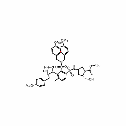 COc1ccc(CN2NNN=C2c2c(I)ccc(S(=O)(=O)N[C@@H]3C[C@@H](CO)N(C(=O)OC(C)(C)C)C3)c2S(=O)(=O)N(Cc2ccc(OC)cc2)Cc2ccc(OC)cc2)cc1